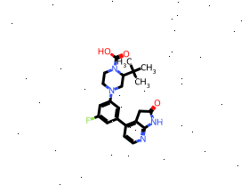 CC(C)(C)C1CN(c2cc(F)cc(-c3ccnc4c3CC(=O)N4)c2)CCN1C(=O)O